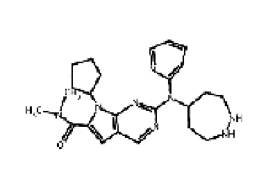 CN(C)C(=O)c1cc2cnc(N(c3ccccn3)C3CCNNCC3)nc2n1C1CCCC1